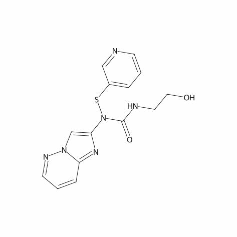 O=C(NCCO)N(Sc1cccnc1)c1cn2ncccc2n1